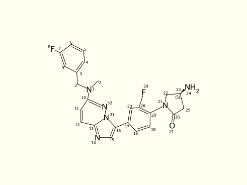 CN(Cc1cccc(F)c1)c1ccc2ncc(-c3ccc(N4C[C@@H](N)CC4=O)c(F)c3)n2n1